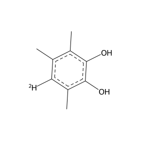 [2H]c1c(C)c(C)c(O)c(O)c1C